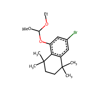 CCOC(OC)Oc1cc(Br)cc2c1C(C)(C)CCC2(C)C